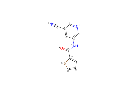 N#Cc1cncc(NC(=O)c2cccs2)c1